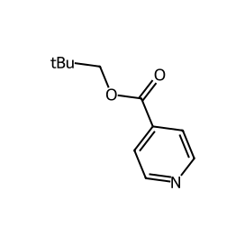 CC(C)(C)COC(=O)c1ccncc1